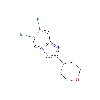 Fc1cc2nc(C3CCOCC3)cn2cc1Br